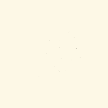 Clc1ccc(-c2nc3ccccc3c3c2-c2ccccc2C32c3ccccc3-c3ccccc32)cc1